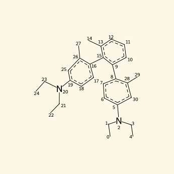 CCN(CC)c1ccc(-c2cccc(C)c2-c2ccc(N(CC)CC)cc2C)c(C)c1